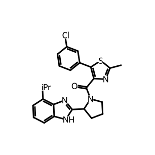 Cc1nc(C(=O)N2CCCC2c2nc3c(C(C)C)cccc3[nH]2)c(-c2cccc(Cl)c2)s1